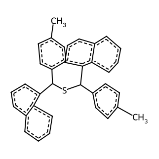 Cc1ccc(C(SC(c2ccc(C)cc2)c2cccc3ccccc23)c2cccc3ccccc23)cc1